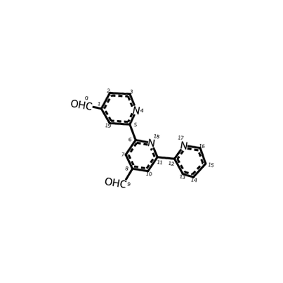 O=Cc1ccnc(-c2cc(C=O)cc(-c3ccccn3)n2)c1